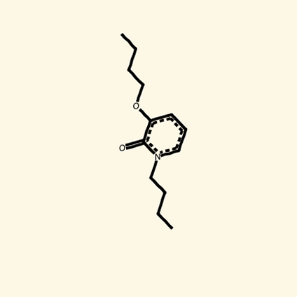 CCCCOc1cccn(CCCC)c1=O